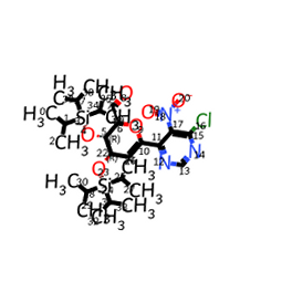 CC(C)[Si](O[C@@H]1[C@@H](C=O)OC(c2ncnc(Cl)c2[N+](=O)[O-])=C[C@H]1O[Si](C(C)C)(C(C)C)C(C)C)(C(C)C)C(C)C